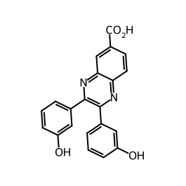 O=C(O)c1ccc2nc(-c3cccc(O)c3)c(-c3cccc(O)c3)nc2c1